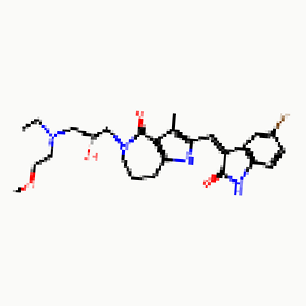 CCN(CCOC)C[C@@H](O)CN1CCCc2[nH]c(/C=C3\C(=O)Nc4ccc(Br)cc43)c(C)c2C1=O